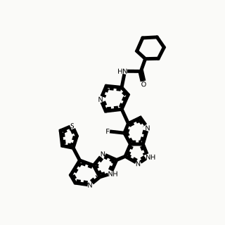 O=C(Nc1cncc(-c2cnc3[nH]nc(-c4nc5c(-c6ccsc6)ccnc5[nH]4)c3c2F)c1)C1CCCCC1